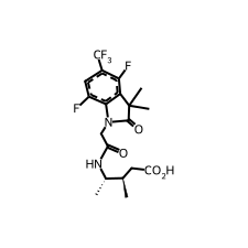 C[C@H](CC(=O)O)[C@H](C)NC(=O)CN1C(=O)C(C)(C)c2c(F)c(C(F)(F)F)cc(F)c21